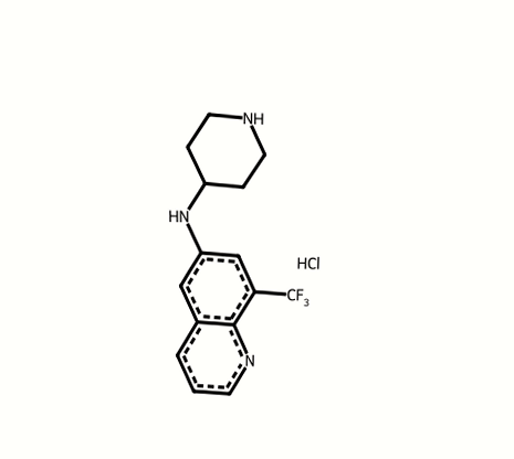 Cl.FC(F)(F)c1cc(NC2CCNCC2)cc2cccnc12